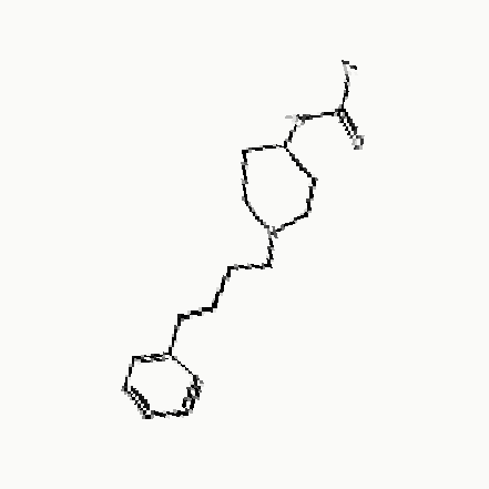 CCC(=O)NC1CCN(CCCCc2ccccn2)CC1